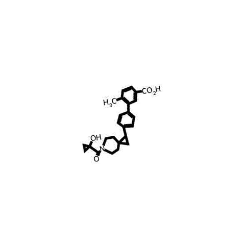 Cc1ccc(C(=O)O)cc1-c1ccc(C2CC23CCN(C(=O)C2(O)CC2)CC3)cc1